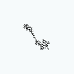 Nc1ncnc2c1c(-c1noc(C3CC3)c1-c1ccccn1)nn2C1CC(C(=O)NCCCCCCCCCCNc2cccc([C@H]3CCC(=O)NC3=O)c2)C1